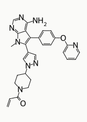 C=CC(=O)N1CCC(n2cc(-c3c(-c4ccc(Oc5ccccn5)cc4)c4c(N)ncnc4n3C)cn2)CC1